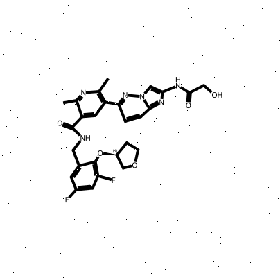 Cc1nc(C)c(-c2ccc3nc(NC(=O)CO)cn3n2)cc1C(=O)NCc1cc(F)cc(F)c1O[C@H]1CCOC1